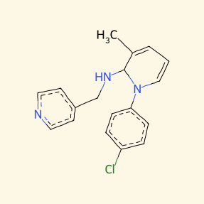 CC1=CC=CN(c2ccc(Cl)cc2)C1NCc1ccncc1